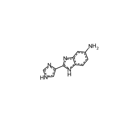 Nc1ccc2[nH]c(-c3c[nH]cn3)nc2c1